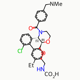 CCc1cccc(-c2c(Cl)cccc2[C@H]2[C@H](COCCNC(=O)O)OCCN2C(=O)c2ccc(CNC)cc2)c1